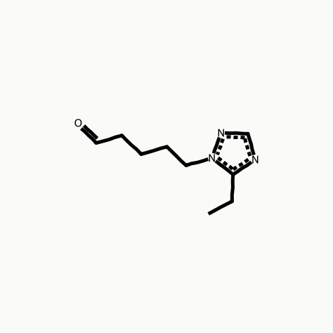 CCc1ncnn1CCCCC=O